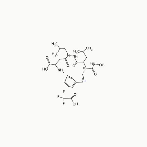 CC(C)CC(C(=O)NN(CC(C)C)C(=O)CC(N)C(=O)O)[C@@H](C/C=C\c1ccccc1)C(=O)NO.O=C(O)C(F)(F)F